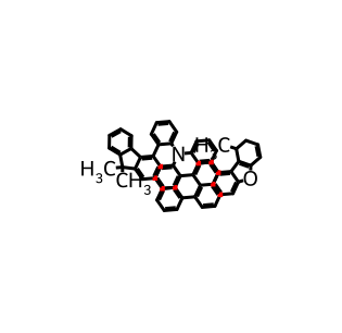 CC1CC=Cc2oc3cccc(-c4cccc(N(c5ccccc5-c5cccc6c5-c5ccccc5C6(C)C)c5ccccc5-c5cccc6cccc(-c7ccccc7)c56)c4)c3c21